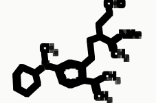 C=C(C)c1ccc(N(C)C2CC=CCC2)cc1CCC(CCC=O)C(=C)NC